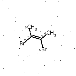 C/C(Br)=C(\C)Br